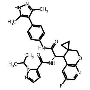 Cc1n[nH]c(C)c1-c1ccc(NC(=O)[C@@H](NC(=O)c2ccnn2C(C)C)C2c3cc(F)cnc3OCC23CC3)cc1